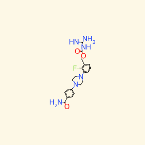 N=C(N)NC(=O)OCc1cccc(N2CCN(c3ccc(C(N)=O)cc3)CC2)c1F